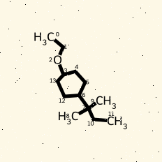 CCOC1CCC(C(C)(C)CC)CC1